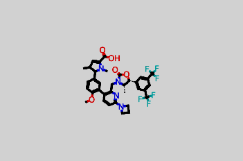 COc1ccc(C2C(C)C=C(C(=O)O)N2C)cc1-c1ccc(N2CCC2)nc1CN1C(=O)O[C@H](c2cc(C(F)(F)F)cc(C(F)(F)F)c2)[C@@H]1C